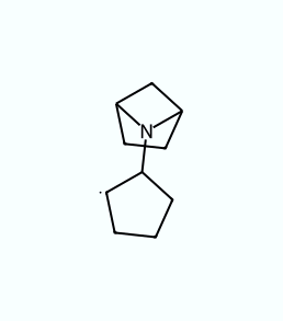 [CH]1CCCC1N1C2CCC1C2